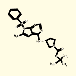 Cc1cc2c(N[C@@H]3CCN(C(=O)OC(C)(C)C)C3)ncnc2n1S(=O)(=O)c1ccccc1